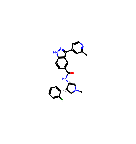 Cc1cc(-c2n[nH]c3ccc(C(=O)N[C@H]4CN(C)C[C@@H]4c4ccccc4F)cc23)ccn1